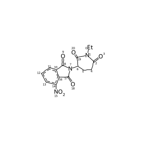 CCN1C(=O)CCC(N2C(=O)c3cccc([N+](=O)[O-])c3C2=O)C1=O